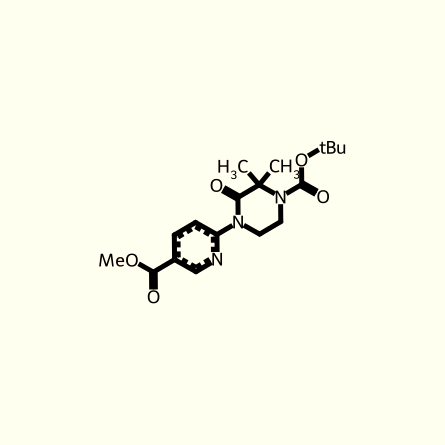 COC(=O)c1ccc(N2CCN(C(=O)OC(C)(C)C)C(C)(C)C2=O)nc1